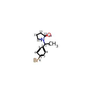 CC(c1ccc(Br)cc1)N1CCCC1=O